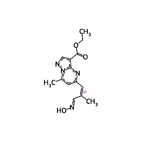 CCOC(=O)c1cnn2c(C)cc(/C=C(/C)C=NO)nc12